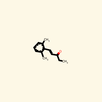 CCC(=O)C=Cc1c(C)cccc1C